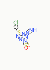 [O-][S+]1CCN(c2nc(N3CCNCC3)nc3c(SCc4ccc(Cl)cc4)ncnc23)CC1